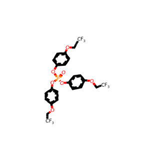 O=P(Oc1ccc(OCC(F)(F)F)cc1)(Oc1ccc(OCC(F)(F)F)cc1)Oc1ccc(OCC(F)(F)F)cc1